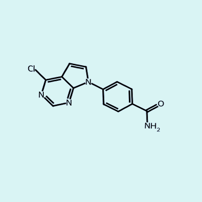 NC(=O)c1ccc(-n2ccc3c(Cl)ncnc32)cc1